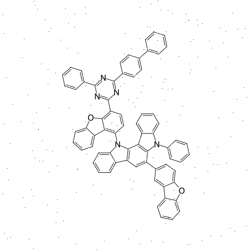 c1ccc(-c2ccc(-c3nc(-c4ccccc4)nc(-c4ccc(-n5c6ccccc6c6cc(-c7ccc8oc9ccccc9c8c7)c7c(c8ccccc8n7-c7ccccc7)c65)c5c4oc4ccccc45)n3)cc2)cc1